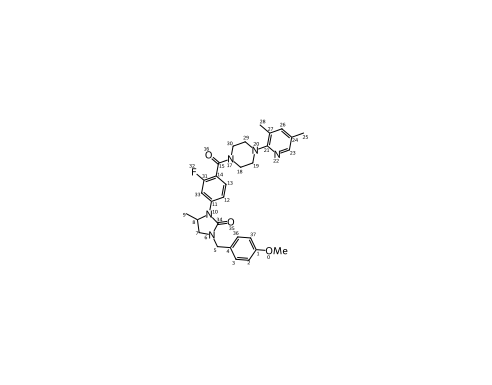 COc1ccc(CN2CC(C)N(c3ccc(C(=O)N4CCN(c5ncc(C)cc5C)CC4)c(F)c3)C2=O)cc1